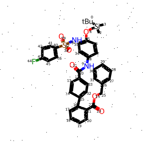 CC(C)(C)[Si](C)(C)Oc1ccc(NC(=O)c2ccc(-c3ccccc3C(=O)OCc3ccccc3)cc2)cc1NS(=O)(=O)c1ccc(F)cc1